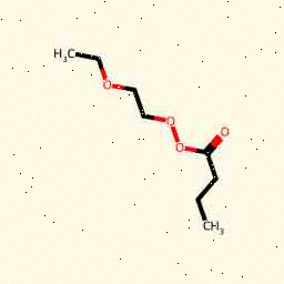 CCCC(=O)OOCCOCC